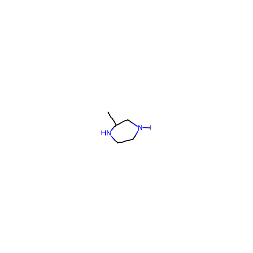 CC1CN(I)CCN1